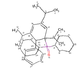 CC(C)C1=CC(C(C)C)(P(=O)(C2CCCCC2)C2CCCCC2)C(c2ccccc2)C(C(C)C)=C1